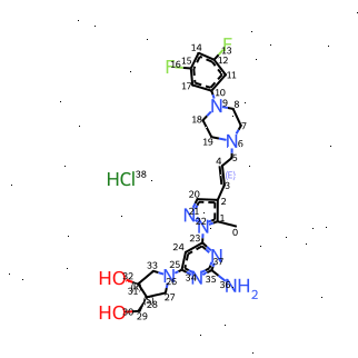 Cc1c(/C=C/CN2CCN(c3cc(F)cc(F)c3)CC2)cnn1-c1cc(N2C[C@@H](CO)[C@@H](O)C2)nc(N)n1.Cl